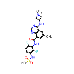 CCCS(=O)(=O)Nc1ccc(F)c(NC(=O)c2cc(C)cc3c(NC4CN(C)C4)ncnc23)c1F